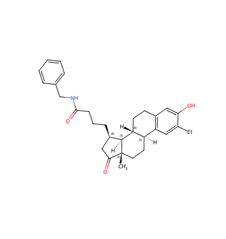 CCc1cc2c(cc1O)CC[C@H]1[C@@H]3[C@H](CCCC(=O)NCc4ccccc4)CC(=O)[C@@]3(C)CC[C@H]21